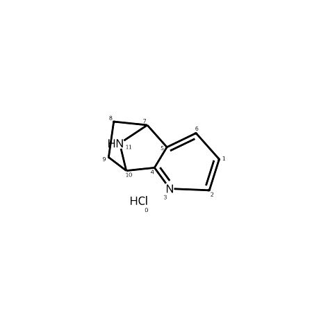 Cl.c1cnc2c(c1)C1CCC2N1